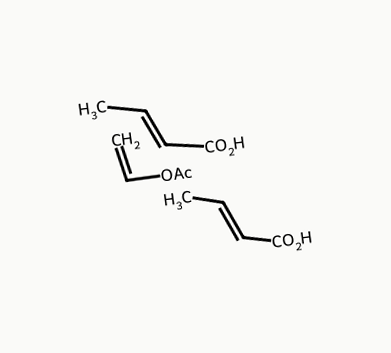 C=COC(C)=O.CC=CC(=O)O.CC=CC(=O)O